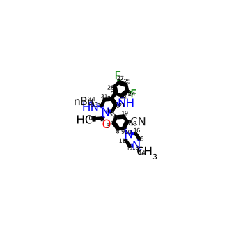 C#CC(=O)N1[C@@H](c2ccc(N3CCN(C)CC3)c(C#N)c2)c2[nH]c3c(F)cc(F)cc3c2C[C@@H]1NCCCC